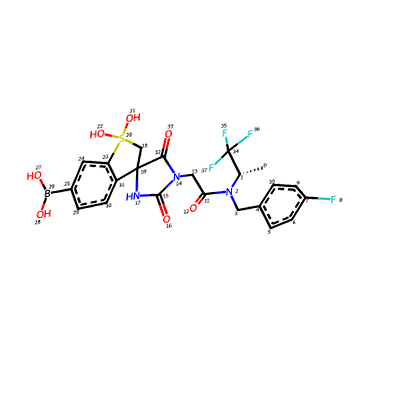 C[C@H](N(Cc1ccc(F)cc1)C(=O)CN1C(=O)NC2(CS(O)(O)c3cc(B(O)O)ccc32)C1=O)C(F)(F)F